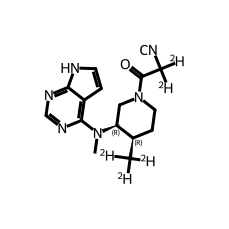 [2H]C([2H])([N+]#[C-])C(=O)N1CC[C@@H](C([2H])([2H])[2H])[C@@H](N(C)c2ncnc3[nH]ccc23)C1